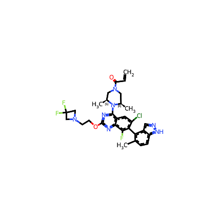 C=CC(=O)N1C[C@@H](C)N(c2nc(OCCN3CC(F)(F)C3)nc3c(F)c(-c4c(C)ccc5[nH]ncc45)c(Cl)cc23)[C@@H](C)C1